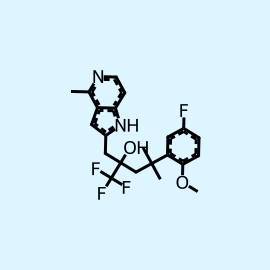 COc1ccc(F)cc1C(C)(C)CC(O)(Cc1cc2c(C)nccc2[nH]1)C(F)(F)F